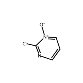 [O-][n+]1cccnc1Cl